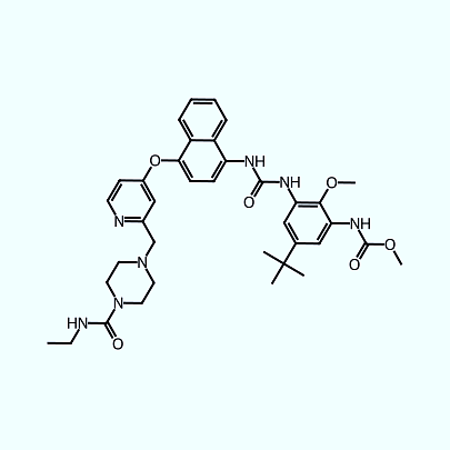 CCNC(=O)N1CCN(Cc2cc(Oc3ccc(NC(=O)Nc4cc(C(C)(C)C)cc(NC(=O)OC)c4OC)c4ccccc34)ccn2)CC1